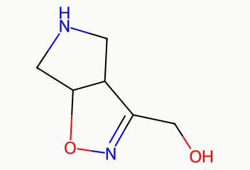 OCC1=NOC2CNCC12